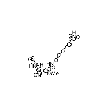 COc1cc(-c2cn(C)c(=O)c3cc(C(=N)NC4CCS(=O)(=O)CC4)sc23)ccc1OCC(=O)NCCOCCOCCOCCCc1cccc(SC2CCC(=O)NC2=O)c1